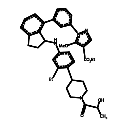 CCOC(=O)c1cnn(-c2cccc(-c3cccc4c3C(Nc3ccc(C5CCN(C(=O)C(C)O)CC5)c(CC)c3)CC4)c2)c1OC